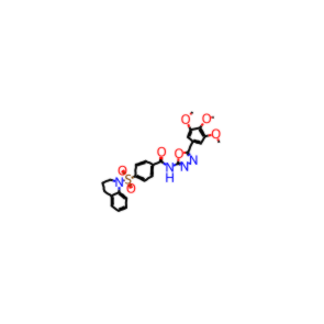 COc1cc(-c2nnc(NC(=O)c3ccc(S(=O)(=O)N4CCCc5ccccc54)cc3)o2)cc(OC)c1OC